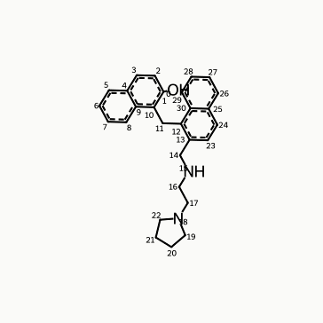 Oc1ccc2ccccc2c1Cc1c(CNCCN2CCCC2)ccc2ccccc12